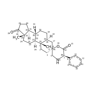 C[C@]12CC[C@]3(CN[C@H](c4ccccc4)C(=O)O3)C[C@@H]1CC[C@@H]1[C@@H]2CC[C@]2(C)C(=O)CC[C@@H]12